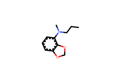 CCCN(C)c1cccc2c1OCO2